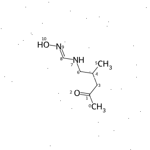 CC(=O)CC(C)CNC=NO